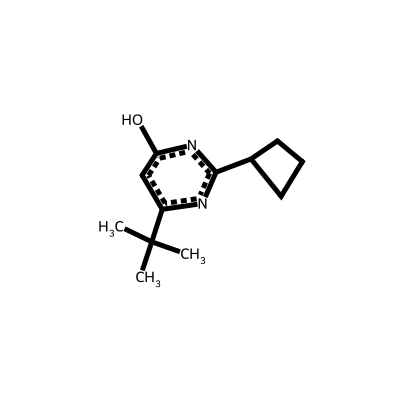 CC(C)(C)c1cc(O)nc(C2CCC2)n1